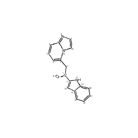 [O-][S+](Cc1cccc2nccn12)c1nc2ccccc2[nH]1